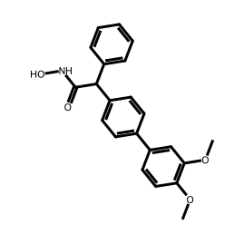 COc1ccc(-c2ccc(C(C(=O)NO)c3ccccc3)cc2)cc1OC